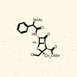 COC(=O)[C@@H]1N2C(=O)[C@@H](NC(=O)C(NC(C)=O)c3ccccc3)[C@@H]2S[C@@]1(C)CCl